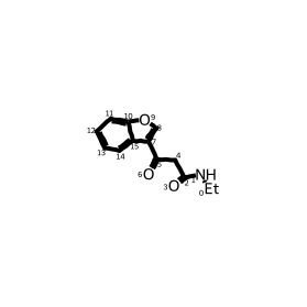 CCNC(=O)CC(=O)c1coc2ccccc12